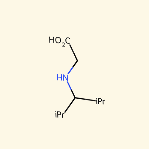 CC(C)C(NCC(=O)O)C(C)C